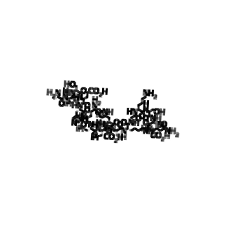 CC[C@H](C)[C@H](NC(=O)[C@H](CO)NC(=O)[C@H](CCCCN)NC(=O)CNC(=O)[C@H](CCCCN)NC(=O)[C@H](CC(=O)O)NC(=O)[C@H](Cc1cnc[nH]1)NC(=O)[C@H](CC(C)C)NC(=O)[C@H](CC(C)C)NC(=O)[C@H](CCC(N)=O)NC(=O)[C@H](Cc1cnc[nH]1)NC(=O)[C@H](CCC(=O)O)NC(=O)[C@H](CO)NC(=O)[C@@H](NC(=O)[C@H](C)N)C(C)C)C(=O)N[C@@H](CCC(N)=O)C(=O)O